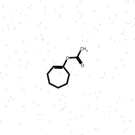 CC(=O)OC1=CCCCCC1